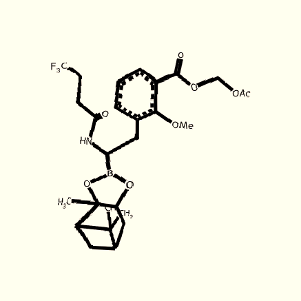 COc1c(CC(NC(=O)CCC(F)(F)F)B2OC3CC4CC(C4(C)C)C3(C)O2)cccc1C(=O)OCOC(C)=O